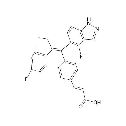 CC/C(=C(/c1ccc(/C=C/C(=O)O)cc1)c1ccc2[nH]ncc2c1F)c1ccc(F)cc1C